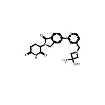 COC1(C)CN(Cc2ccnc(-c3ccc4c(c3)CN(C3CCC(=O)NC3=O)C4=O)c2)C1